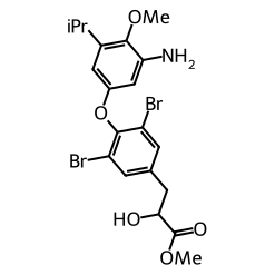 COC(=O)C(O)Cc1cc(Br)c(Oc2cc(N)c(OC)c(C(C)C)c2)c(Br)c1